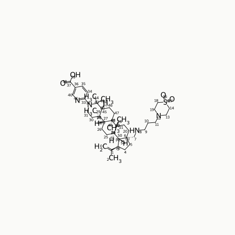 C=C(C)[C@@H]1CC[C@]2(CNCCCN3CCS(=O)(=O)CC3)CC[C@]3(C)[C@H](CC[C@@H]4[C@@]5(C)CCN(c6ccc(C(=O)O)cn6)C(C)(C)[C@@H]5CC[C@]43C)[C@@H]12